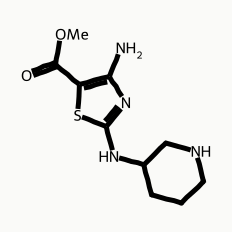 COC(=O)c1sc(NC2CCCNC2)nc1N